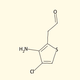 Nc1c(Cl)csc1CC=O